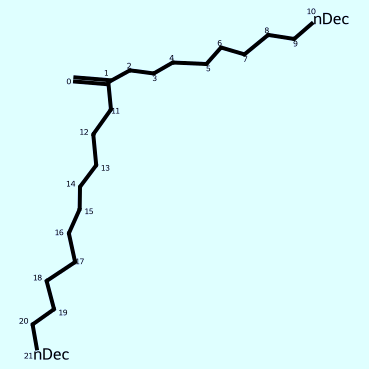 C=C(CCCCCCCCCCCCCCCCCC)CCCCCCCCCCCCCCCCCCCC